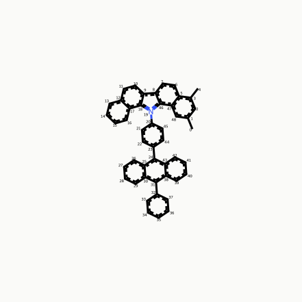 Cc1cc(C)c2ccc3c4ccc5ccccc5c4n(-c4ccc(-c5c6ccccc6c(-c6ccccc6)c6ccccc56)cc4)c3c2c1